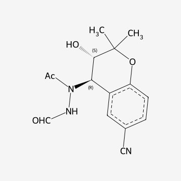 CC(=O)N(NC=O)[C@@H]1c2cc(C#N)ccc2OC(C)(C)[C@H]1O